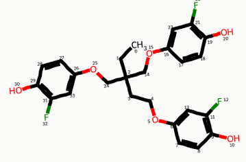 CCC(CCOc1ccc(O)c(F)c1)(COc1ccc(O)c(F)c1)COc1ccc(O)c(F)c1